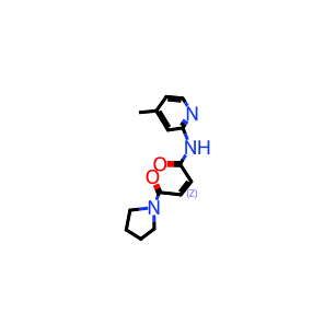 Cc1ccnc(NC(=O)/C=C\C(=O)N2CCCC2)c1